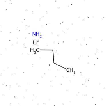 CCCC.[Li+].[NH2-]